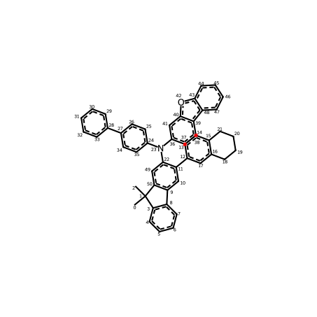 CC1(C)c2ccccc2-c2cc(-c3ccc4c(c3)CCCC4)c(N(c3ccc(-c4ccccc4)cc3)c3ccc4c(c3)oc3ccccc34)cc21